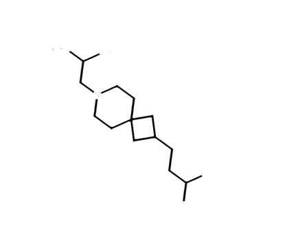 CCCCCCC(CCC)CN1CCC2(CC1)CC(CCC(C)CCCC)C2